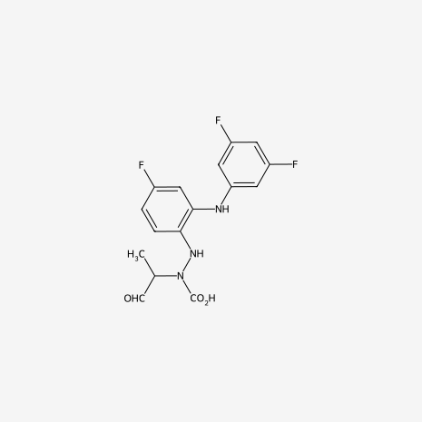 CC(C=O)N(Nc1ccc(F)cc1Nc1cc(F)cc(F)c1)C(=O)O